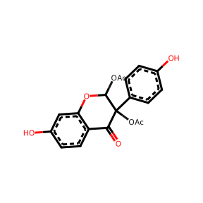 CC(=O)OC1Oc2cc(O)ccc2C(=O)C1(OC(C)=O)c1ccc(O)cc1